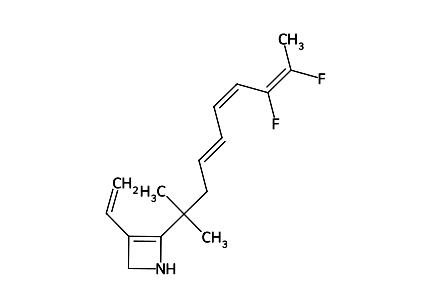 C=CC1=C(C(C)(C)C/C=C/C=C\C(F)=C(/C)F)NC1